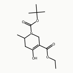 CCOC(=O)C1=C(O)CC(C)N(C(=O)OC(C)(C)C)C1